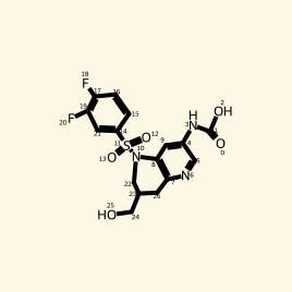 O=C(O)Nc1cnc2c(c1)N(S(=O)(=O)c1ccc(F)c(F)c1)CC(CO)C2